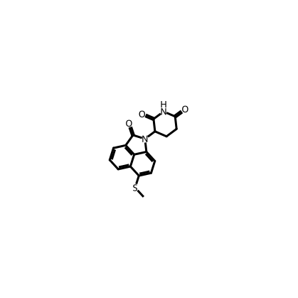 CSc1ccc2c3c(cccc13)C(=O)N2C1CCC(=O)NC1=O